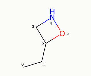 CCC1CNO1